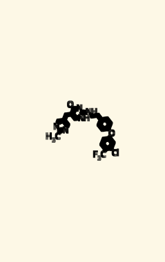 Cc1ncc(Cc2c[nH]c(NCCc3ccc(Oc4ccc(C(F)(F)F)c(Cl)c4)cc3)nc2=O)cn1